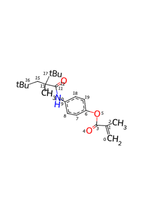 C=C(C)C(=O)Oc1ccc(NC(=O)C(C)(CC(C)(C)C)C(C)(C)C)cc1